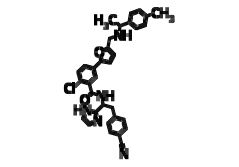 Cc1ccc(C(C)NCc2ccc(-c3ccc(Cl)c(C(=O)NC(Cc4ccc(C#N)cc4)c4ncc[nH]4)c3)o2)cc1